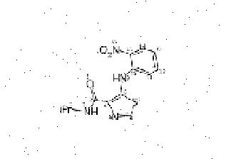 CC(C)NC(=O)c1ncsc1Nc1ccccc1[N+](=O)[O-]